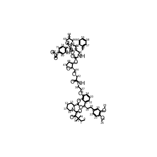 CCC(C)(C)C(=O)C(=O)N1CCCC[C@H]1C(=O)O[C@H](CCc1ccc(OC)c(OC)c1)c1cccc(OCCNC(=O)COC[C@H]2OCC[C@@H]2OC(=O)N[C@@H](Cc2ccccc2)[C@H](O)CN(CC(C)C)S(=O)(=O)c2ccc([N+](=O)[O-])cc2)c1